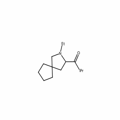 CCN1CC2(CCCC2)CC1C(=O)C(C)C